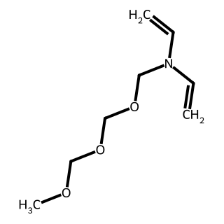 C=CN(C=C)COCOCOC